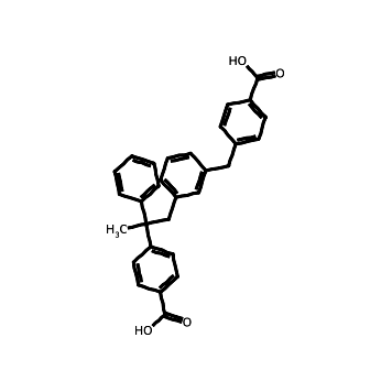 CC(Cc1cccc(Cc2ccc(C(=O)O)cc2)c1)(c1ccccc1)c1ccc(C(=O)O)cc1